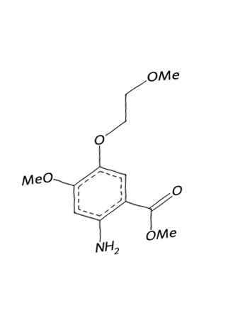 COCCOc1cc(C(=O)OC)c(N)cc1OC